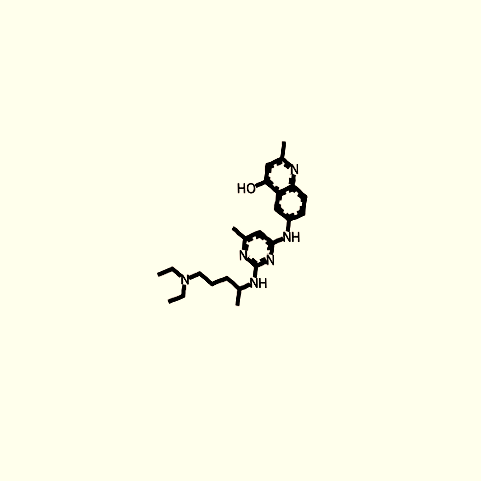 CCN(CC)CCCC(C)Nc1nc(C)cc(Nc2ccc3nc(C)cc(O)c3c2)n1